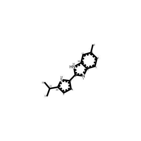 Cc1ccc2nc(-c3ccc(C(C)C)s3)[nH]c2c1